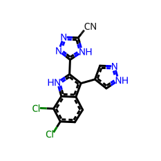 N#Cc1nnc(-c2[nH]c3c(Cl)c(Cl)ccc3c2-c2cn[nH]c2)[nH]1